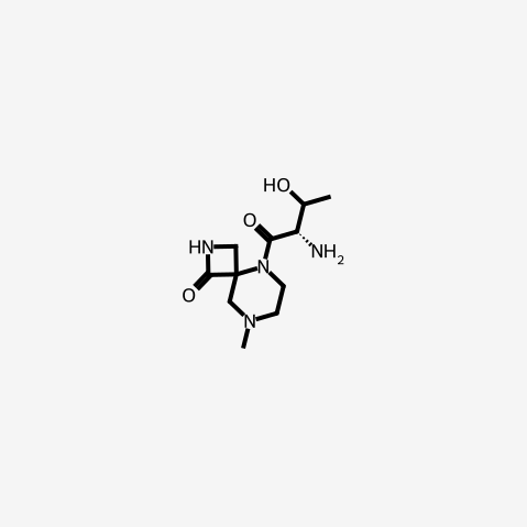 CC(O)[C@H](N)C(=O)N1CCN(C)CC12CNC2=O